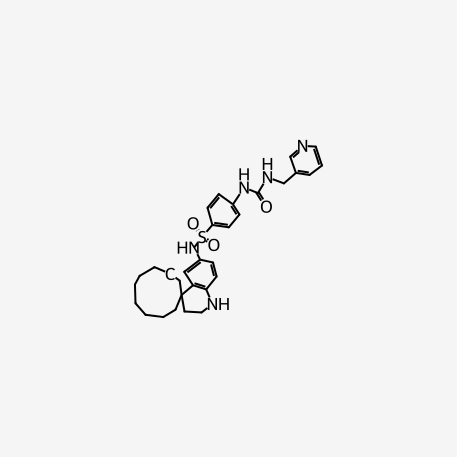 O=C(NCc1cccnc1)Nc1ccc(S(=O)(=O)Nc2ccc3c(c2)C2(CCCCCCCCC2)CCN3)cc1